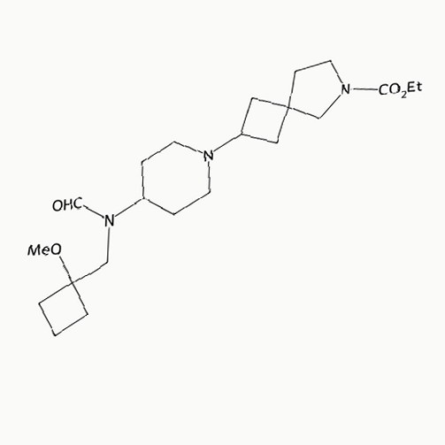 CCOC(=O)N1CCC2(CC(N3CCC(N(C=O)CC4(OC)CCC4)CC3)C2)C1